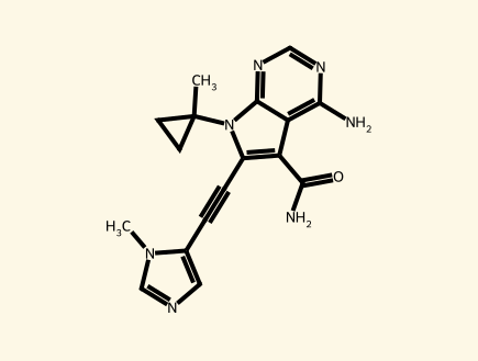 Cn1cncc1C#Cc1c(C(N)=O)c2c(N)ncnc2n1C1(C)CC1